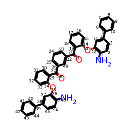 Nc1ccc(-c2ccccc2)cc1Oc1ccccc1C(=O)c1cccc(C(=O)c2ccccc2Oc2cc(-c3ccccc3)ccc2N)c1